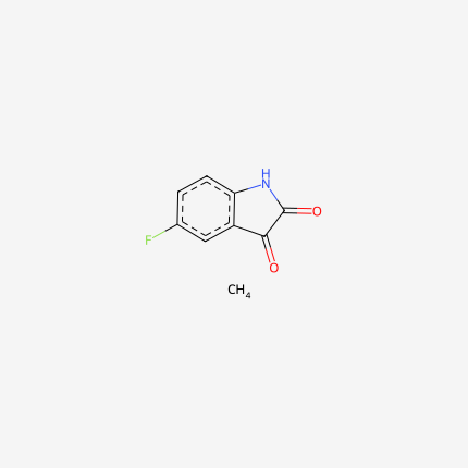 C.O=C1Nc2ccc(F)cc2C1=O